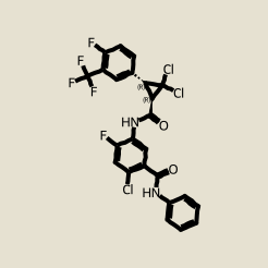 O=C(Nc1ccccc1)c1cc(NC(=O)[C@H]2[C@H](c3ccc(F)c(C(F)(F)F)c3)C2(Cl)Cl)c(F)cc1Cl